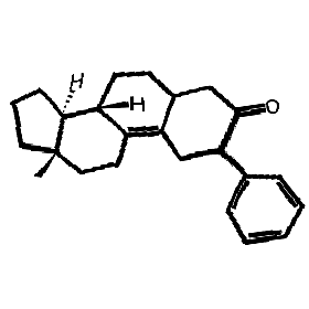 C[C@@]12CCC[C@H]1[C@@H]1CCC3CC(=O)C(c4ccccc4)CC3=C1CC2